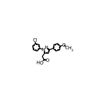 COc1ccc(-c2cc(CC(=O)O)n(-c3cccc(Cl)c3)n2)cc1